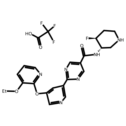 CCOc1cccnc1Oc1cncc(-c2ncc(C(=O)N[C@H]3CNCC[C@@H]3F)cn2)c1.O=C(O)C(F)(F)F